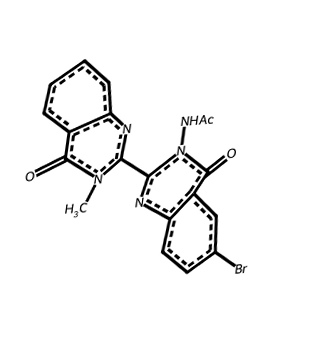 CC(=O)Nn1c(-c2nc3ccccc3c(=O)n2C)nc2ccc(Br)cc2c1=O